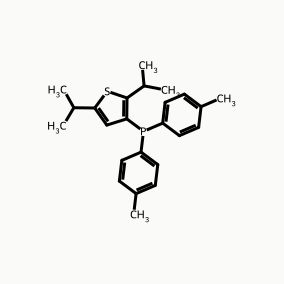 Cc1ccc(P(c2ccc(C)cc2)c2cc(C(C)C)sc2C(C)C)cc1